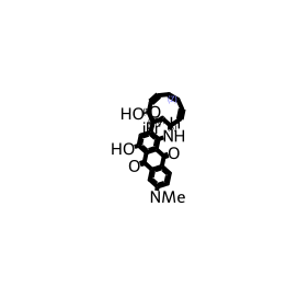 CNc1ccc2c(c1)C(=O)c1c(O)cc3c(c1C2=O)N[C@H]1C#C/C=C\C#C[C@@H](O)[C@@]32O[C@@]12C(C)C